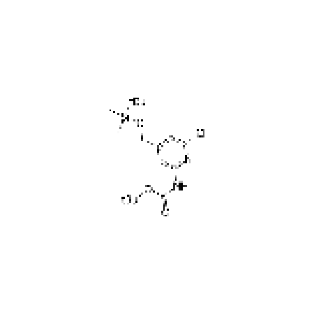 CC(C)(C)OC(=O)Nc1cc(CO[Si](C)(C)C(C)(C)C)cc(Cl)n1